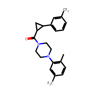 Cc1ccc(C(F)(F)F)cc1N1CCN(C(=O)C2CC2c2cccc(C(F)(F)F)c2)CC1